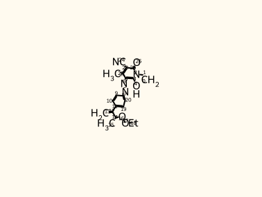 C=Cn1c(O)c(/N=N/c2ccc(C(=C)C(C)OOCC)cc2)c(C)c(C#N)c1=O